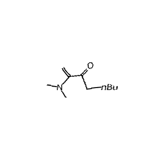 C=C(C(=O)CCCCC)N(C)C